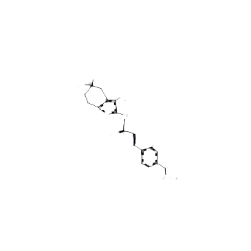 CNCc1ccc(/C=C/C(=O)Nc2sc3c(c2C(=O)O)CC(C)(C)CC3)cc1